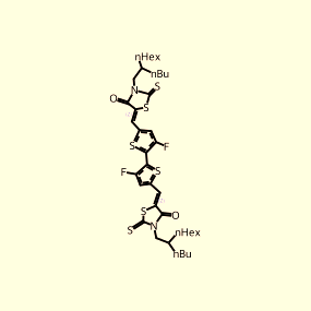 CCCCCCC(CCCC)CN1C(=O)/C(=C/c2cc(F)c(-c3sc(/C=C4\SC(=S)N(CC(CCCC)CCCCCC)C4=O)cc3F)s2)SC1=S